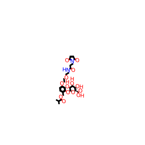 CC(C)C(=O)OCc1ccc(OCCOCCNC(=O)CCN2C(=O)C=CC2=O)cc1O[C@@H]1O[C@H](C(=O)O)[C@@H](O)[C@H](O)C1O